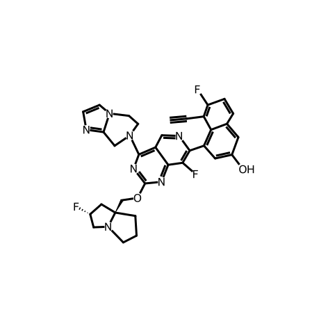 C#Cc1c(F)ccc2cc(O)cc(-c3ncc4c(N5CCn6ccnc6C5)nc(OC[C@@]56CCCN5C[C@H](F)C6)nc4c3F)c12